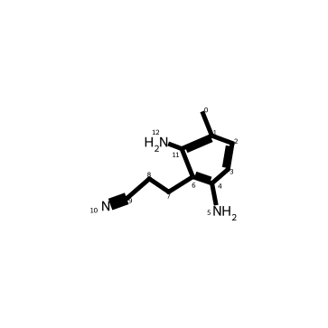 Cc1ccc(N)c(CCC#N)c1N